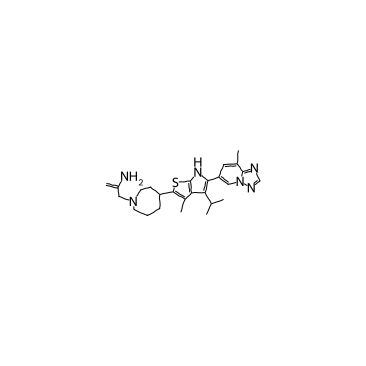 C=C(N)CN1CCCC(c2sc3[nH]c(-c4cc(C)c5ncnn5c4)c(C(C)C)c3c2C)CC1